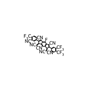 N#CC(C#N)=C1C(c2ccc(C(F)(F)F)c(C#N)c2)=C(C#N)c2c1cc1c(c2F)C(C#N)=C(c2ccc(C(F)(F)F)c(C(F)(F)F)c2)C1=C(C#N)C#N